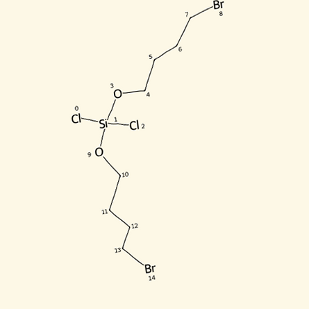 Cl[Si](Cl)(OCCCCBr)OCCCCBr